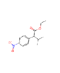 CCOC(=O)C(c1ccc([N+](=O)[O-])cc1)C(C)C